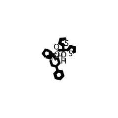 C[N+]1(C2C3CCC2C(OC(=O)C(O)(c2cccs2)c2cccs2)C3)CCC(c2ccccc2)CC1